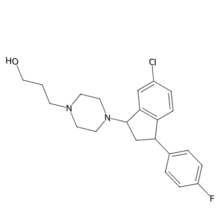 OCCCN1CCN(C2CC(c3ccc(F)cc3)c3ccc(Cl)cc32)CC1